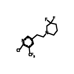 FC1(F)CCCN(CCc2cnc(Cl)c(C(F)(F)F)c2)C1